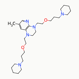 Cc1cnc2c(c1)N(CCOCCCN1CCCCC1)CCN2CCOCCCN1CCCCC1